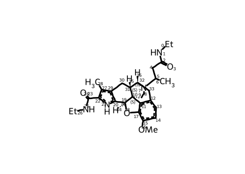 CCNC(=O)CC(C)N1CC[C@]23c4c5ccc(OC)c4O[C@H]2c2[nH]c(C(=O)NCC)c(C)c2C[C@@H]3[C@@H]1C5